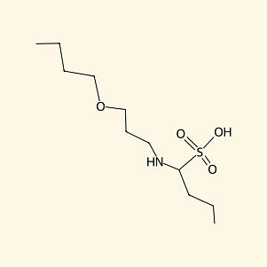 CCCCOCCCNC(CCC)S(=O)(=O)O